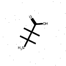 CC(C)([SiH3])C(C)(C)C(=O)O